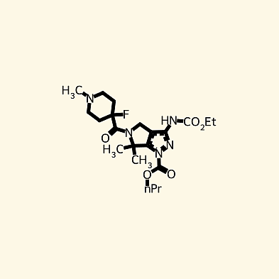 CCCOC(=O)n1nc(NC(=O)OCC)c2c1C(C)(C)N(C(=O)C1(F)CCN(C)CC1)C2